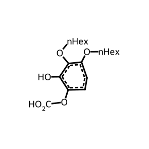 CCCCCCOc1ccc(OC(=O)O)c(O)c1OCCCCCC